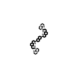 c1cc2cc(-c3ccc4ccc5ccc(N6CCCN7CCCN=C76)nc5c4n3)ccc2cc1-c1ccc2ccc3ccc(N4CCCN5CCCN=C54)nc3c2n1